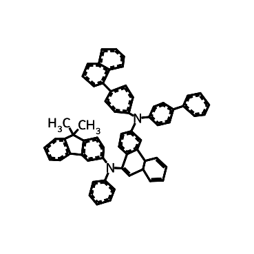 CC1(C)c2ccccc2-c2cc(N(C3=CC4C=CC=CC4c4cc(N(c5ccc(-c6ccccc6)cc5)c5ccc(-c6cccc7ccccc67)cc5)ccc43)c3ccccc3)ccc21